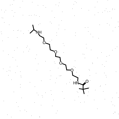 CC(C)NCCOCCOCCOCCOCCNC(=O)C(C)(C)C